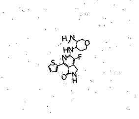 NC1COCCC1Nc1nc(-c2cccs2)c2c(c1F)CNC2=O